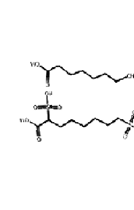 CCCCCCCC(=O)O.O=C(O)C(CCCCCCS(=O)(=O)O)S(=O)(=O)O